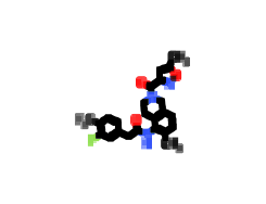 Cc1cc(C(=O)N2CCc3c(ccc(C)c3NC(=O)Cc3ccc(C(F)(F)F)c(F)c3)C2)no1